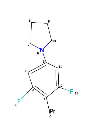 CC(C)c1c(F)cc(N2CCCC2)cc1F